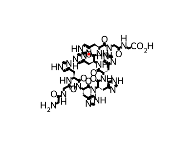 NCC(=O)NCC(=O)N[C@@H](Cc1c[nH]cn1)C(=O)N[C@@H](Cc1c[nH]cn1)C(=O)N[C@@H](Cc1c[nH]cn1)C(=O)N[C@@H](Cc1c[nH]cn1)C(=O)N[C@@H](Cc1c[nH]cn1)C(=O)N[C@@H](Cc1c[nH]cn1)C(=O)NCC(=O)NCC(=O)O